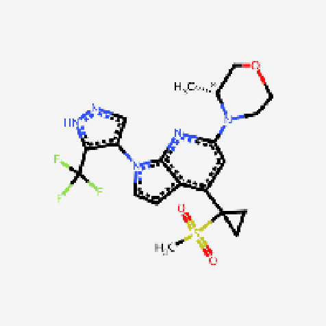 C[C@@H]1COCCN1c1cc(C2(S(C)(=O)=O)CC2)c2ccn(-c3cn[nH]c3C(F)(F)F)c2n1